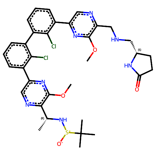 COc1nc(-c2cccc(-c3cccc(-c4cnc([C@@H](C)N[S+]([O-])C(C)(C)C)c(OC)n4)c3Cl)c2Cl)cnc1CNC[C@@H]1CCC(=O)N1